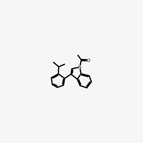 CC(=O)n1cc(-c2ccccc2C(C)C)c2ccccc21